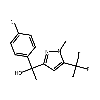 Cn1nc(C(C)(O)c2ccc(Cl)cc2)cc1C(F)(F)F